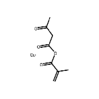 C=C(C)C(=O)OC(=O)CC(C)=O.[Cu]